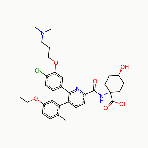 CCOc1ccc(C)c(-c2ccc(C(=O)N[C@]3(C(=O)O)CC[C@@H](O)CC3)nc2-c2ccc(Cl)c(OCCCN(C)C)c2)c1